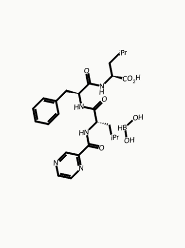 CC(C)C[C@H](NC(=O)[C@H](Cc1ccccc1)NC(=O)[C@H](CC(C)C)NC(=O)c1cnccn1)C(=O)O.OBO